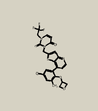 Cc1cc(Cl)cc(-c2ccnc3cc(Cn4c(=O)ccn(CC(F)(F)F)c4=O)sc23)c1OC1COC1